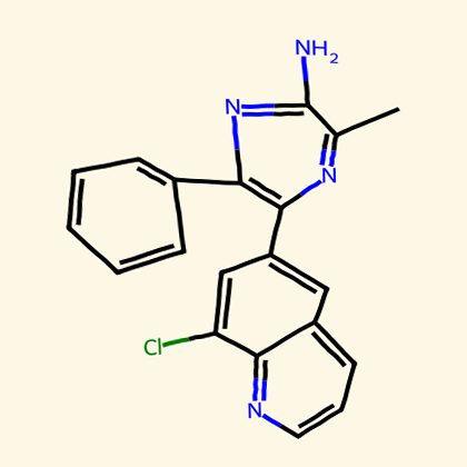 Cc1nc(-c2cc(Cl)c3ncccc3c2)c(-c2ccccc2)nc1N